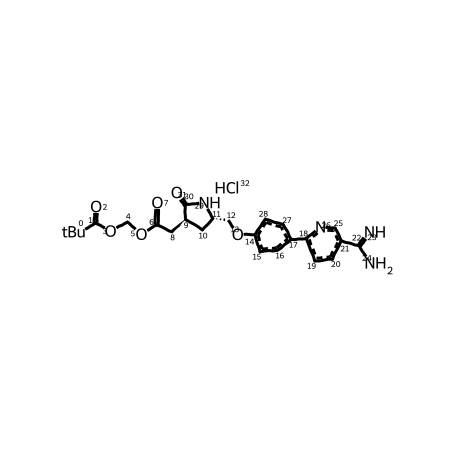 CC(C)(C)C(=O)OCOC(=O)C[C@@H]1C[C@@H](COc2ccc(-c3ccc(C(=N)N)cn3)cc2)NC1=O.Cl